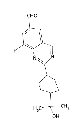 CC(C)(O)C1CCC(c2ncc3cc(C=O)cc(F)c3n2)CC1